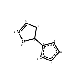 [C]1=NOC(c2cccs2)C1